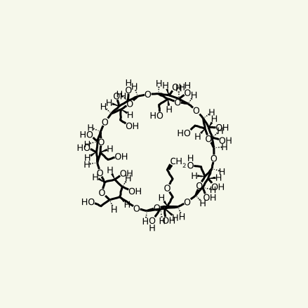 C=CCOC[C@H]1O[C@@H]2O[C@H]3[C@H](O)[C@@H](O)[C@@H](O[C@H]4[C@H](O)[C@@H](O)[C@@H](O[C@H]5[C@H](O)[C@@H](O)[C@@H](O[C@H]6[C@H](O)[C@@H](O)[C@@H](O[C@H]7[C@H](O)[C@@H](O)[C@@H](O[C@H]8[C@H](O)[C@@H](O)[C@@H](O[C@H]1[C@H](O)[C@H]2O)O[C@@H]8CO)O[C@@H]7CO)O[C@@H]6CO)O[C@@H]5CO)O[C@@H]4CO)O[C@@H]3CO